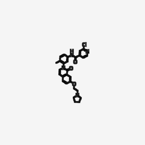 Cc1ccc(NC(=O)c2ccnc(Cl)c2)cc1-n1ccc2ccc(OCCN3CCCC3)cc2c1=O